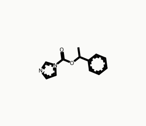 CC(OC(=O)n1ccnc1)c1ccccc1